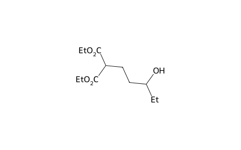 CCOC(=O)C(CCC(O)CC)C(=O)OCC